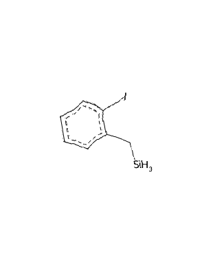 [SiH3]Cc1ccccc1I